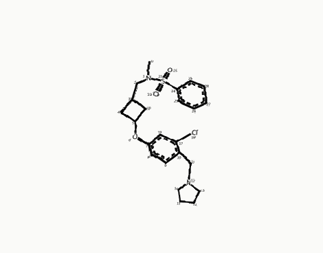 CN(CC1CC(Oc2ccc(CN3CCCC3)c(Cl)c2)C1)S(=O)(=O)c1ccccc1